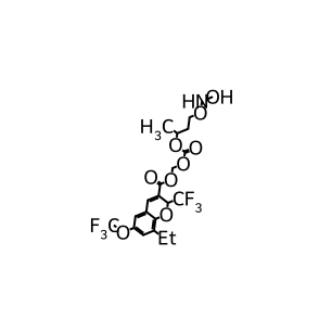 CCc1cc(OC(F)(F)F)cc2c1OC(C(F)(F)F)C(C(=O)OCOC(=O)OC(C)CCONO)=C2